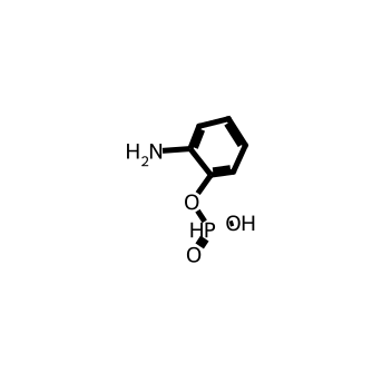 Nc1ccccc1O[PH](=O)O